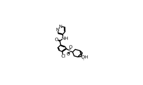 C[C@H]1CC2CC(S(=O)(=O)c3cc(C(=O)Nc4ccnnc4)ccc3Cl)CC1[C@]2(C)O